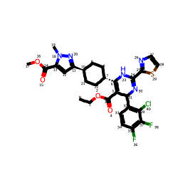 CCOC(=O)C1=C([C@H]2CC[C@H](c3cc(C(=O)OC)n(C)n3)CC2)NC(c2nccs2)=NC1c1ccc(F)c(F)c1Cl